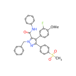 COc1ccc(-c2c(-c3ccc(S(C)(=O)=O)cc3)nn(Cc3ccccc3)c2C(=O)Nc2ccccc2)cc1F